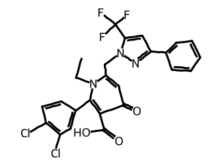 CCn1c(Cn2nc(-c3ccccc3)cc2C(F)(F)F)cc(=O)c(C(=O)O)c1-c1ccc(Cl)c(Cl)c1